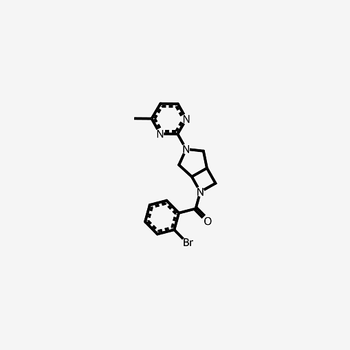 Cc1ccnc(N2CC3CN(C(=O)c4ccccc4Br)C3C2)n1